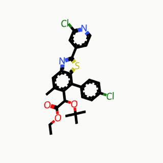 CCOC(=O)C(OC(C)(C)C)c1c(C)cc2nc(-c3ccnc(Cl)c3)sc2c1-c1ccc(Cl)cc1